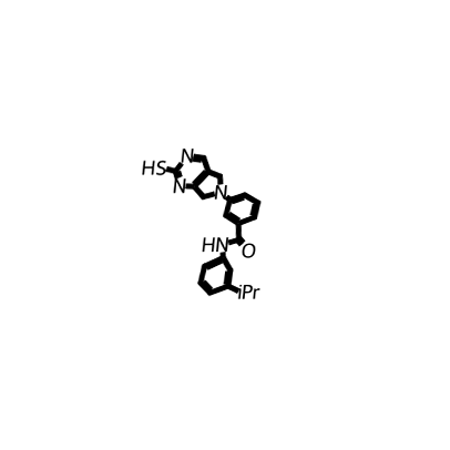 CC(C)c1cccc(NC(=O)c2cccc(N3Cc4cnc(S)nc4C3)c2)c1